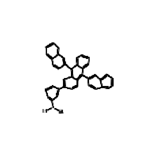 CCP(CC)c1cccc(-c2ccc3c(-c4ccc5ccccc5c4)c4ccccc4c(-c4ccc5ccccc5c4)c3c2)c1